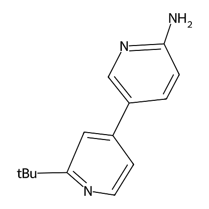 CC(C)(C)c1cc(-c2ccc(N)nc2)ccn1